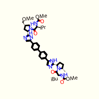 CC[C@H](C)C(NC(=O)OC)C(=O)N1[C@@H](C)CC[C@H]1c1ncc(-c2ccc(-c3ccc(-c4cnc([C@@H]5C[C@H](COC)CN5C(=O)[C@@H](NC(=O)OC)C(C)C)[nH]4)cc3)cc2)[nH]1